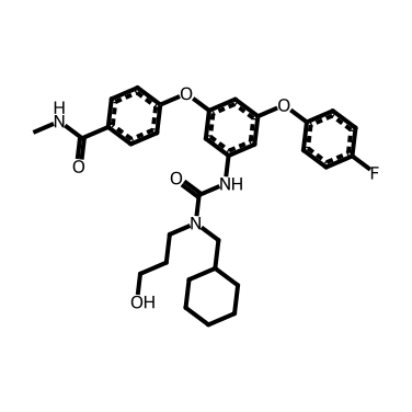 CNC(=O)c1ccc(Oc2cc(NC(=O)N(CCCO)CC3CCCCC3)cc(Oc3ccc(F)cc3)c2)cc1